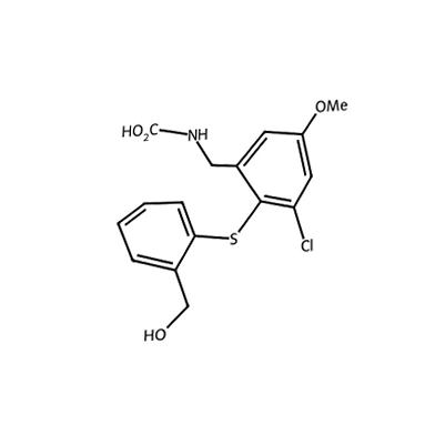 COc1cc(Cl)c(Sc2ccccc2CO)c(CNC(=O)O)c1